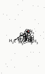 CCCCCCC(C)(C)c1cc2c(c(O[Si](C)(C)C(C)(C)C)c1)[C@@H]1CC(C(=O)NS(C)(=O)=O)=CC[C@H]1C(C)(C)O2